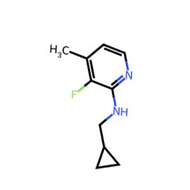 Cc1ccnc(NCC2CC2)c1F